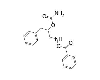 NC(=O)OC(CNOC(=O)c1ccccc1)Cc1ccccc1